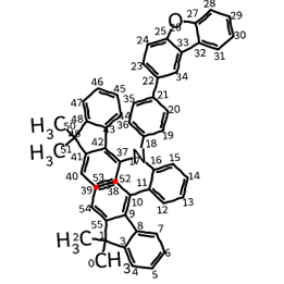 CC1(C)c2ccccc2-c2c(-c3ccccc3N(c3ccc(-c4ccc5oc6ccccc6c5c4)cc3)c3cccc4c3-c3ccccc3C4(C)C)cccc21